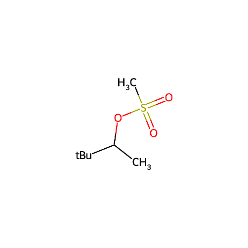 CC(OS(C)(=O)=O)C(C)(C)C